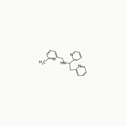 Cc1cccc(CNC(Cc2ccccn2)c2ccccn2)n1